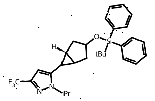 CC(C)n1nc(C(F)(F)F)cc1C1C2CC(O[Si](c3ccccc3)(c3ccccc3)C(C)(C)C)C[C@H]21